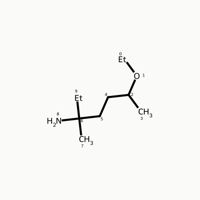 CCOC(C)CCC(C)(N)CC